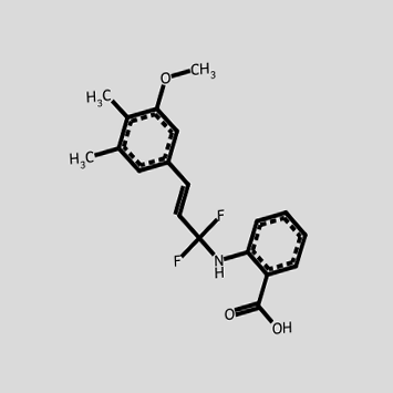 COc1cc(/C=C/C(F)(F)Nc2ccccc2C(=O)O)cc(C)c1C